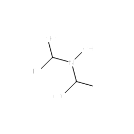 CCCC(CC)N(O)C(CC)CCC